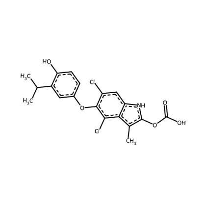 Cc1c(OC(=O)O)[nH]c2cc(Cl)c(Oc3ccc(O)c(C(C)C)c3)c(Cl)c12